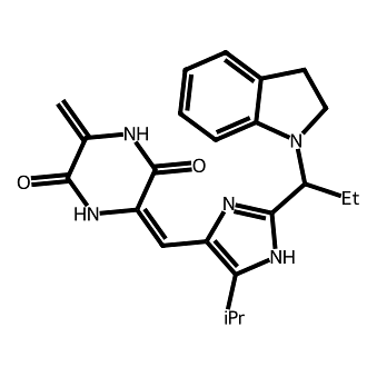 C=c1[nH]c(=O)c(=Cc2nc(C(CC)N3CCc4ccccc43)[nH]c2C(C)C)[nH]c1=O